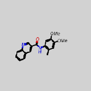 COc1cc(C)c(NC(=O)c2cnc3ccccc3c2)cc1OC